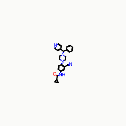 N#Cc1cc(NC(=O)C2CC2)ccc1N1CCN(C(c2ccccc2)c2ccncc2)CC1